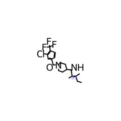 CC/C(C)=C(\C)C(=N)C1CCN(C(=O)c2ccc(C(F)(F)F)c(Cl)c2)CC1